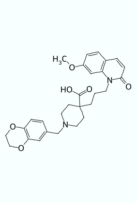 COc1ccc2ccc(=O)n(CCCC3(C(=O)O)CCN(Cc4ccc5c(c4)OCCO5)CC3)c2c1